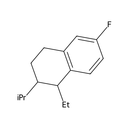 CCC1c2ccc(F)cc2CCC1C(C)C